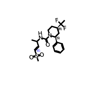 CC(/C=C/S(C)(=O)=O)NC(=O)N1CC[C@@H](C(C)(F)F)C[C@H]1c1ccccc1